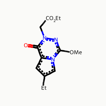 CCOC(=O)Cn1nc(OC)n2cc(CC)cc2c1=O